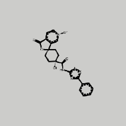 O=C1O[C@]2(CC[C@](O)(C(=O)Nc3nsc(-c4ccccc4)n3)CC2)c2c[n+]([O-])ccc21